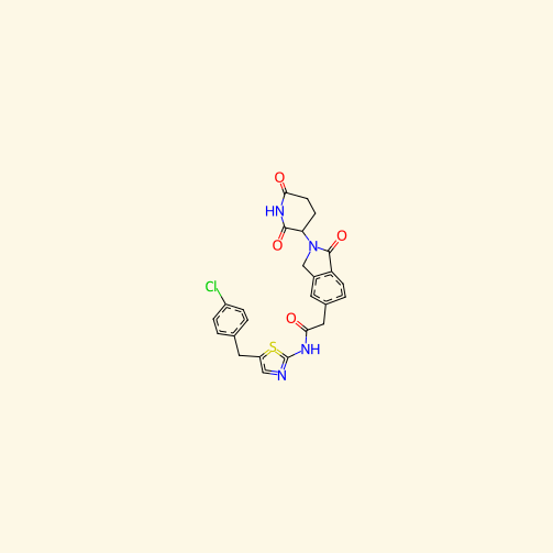 O=C1CCC(N2Cc3cc(CC(=O)Nc4ncc(Cc5ccc(Cl)cc5)s4)ccc3C2=O)C(=O)N1